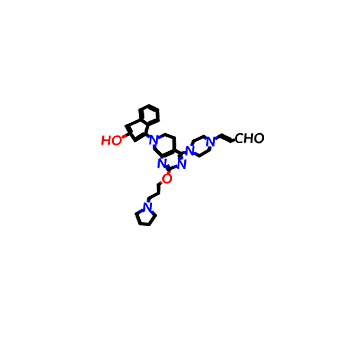 O=CC=CN1CCN(c2nc(OCCCN3CCCC3)nc3c2CCN(c2cc(O)cc4ccccc24)C3)CC1